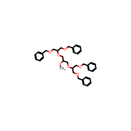 COC(COC(COCc1ccccc1)COCc1ccccc1)COC(COCc1ccccc1)COCc1ccccc1